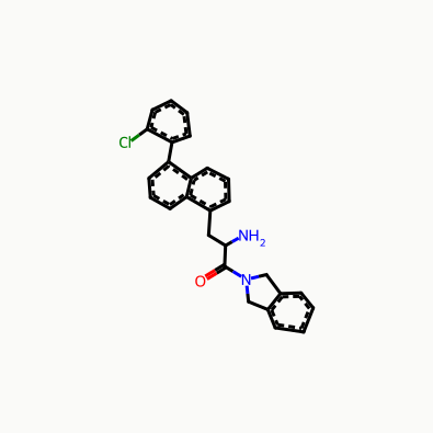 NC(Cc1cccc2c(-c3ccccc3Cl)cccc12)C(=O)N1Cc2ccccc2C1